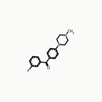 CN1CCN(c2ccc(C(=O)c3cccc(F)c3)cc2)CC1